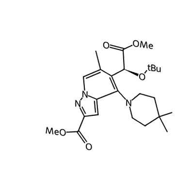 COC(=O)c1cc2c(N3CCC(C)(C)CC3)c([C@H](OC(C)(C)C)C(=O)OC)c(C)cn2n1